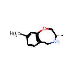 C[C@H]1COc2cc(C(=O)O)ccc2CN1